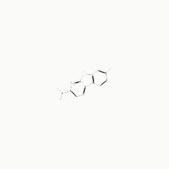 Cc1ccc2c(c1)oc1nc(C(C)C)ccc12